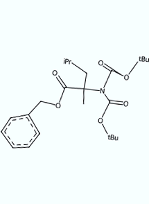 CC(C)CC(C)(C(=O)OCc1ccccc1)N(C(=O)OC(C)(C)C)C(=O)OC(C)(C)C